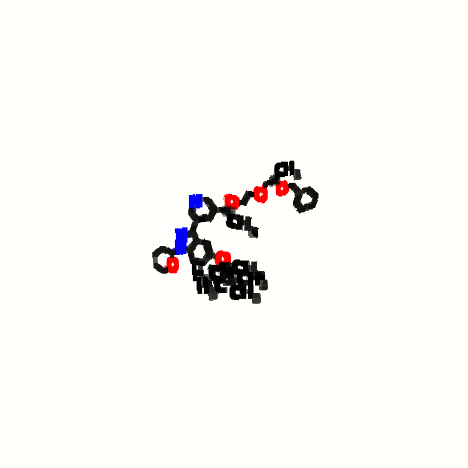 C[C@H](COCCO[C@@H](C)c1cncc(-c2nn(C3CCCCO3)c3ccc(O[Si](C)(C)C(C)(C)C)cc23)c1)OCc1ccccc1